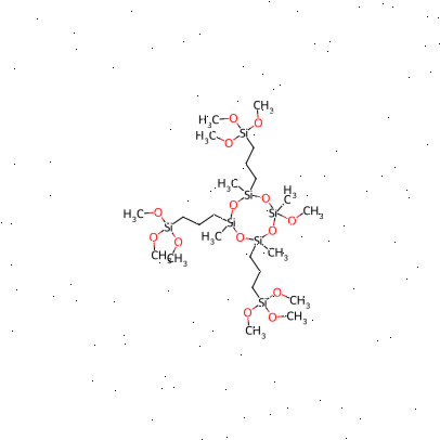 CO[Si]1(C)O[Si](C)(CCC[Si](OC)(OC)OC)O[Si](C)(CCC[Si](OC)(OC)OC)O[Si](C)(CCC[Si](OC)(OC)OC)O1